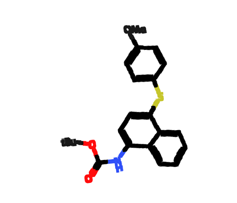 COc1ccc(Sc2ccc(NC(=O)OC(C)(C)C)c3ccccc23)cc1